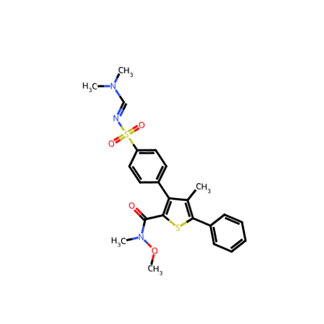 CON(C)C(=O)c1sc(-c2ccccc2)c(C)c1-c1ccc(S(=O)(=O)N=CN(C)C)cc1